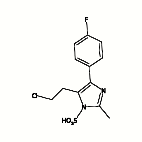 Cc1nc(-c2ccc(F)cc2)c(CCCl)n1S(=O)(=O)O